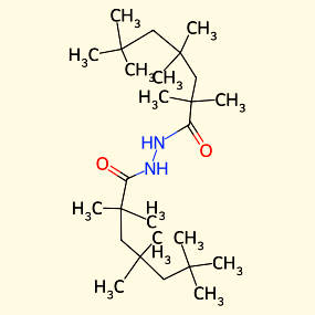 CC(C)(C)CC(C)(C)CC(C)(C)C(=O)NNC(=O)C(C)(C)CC(C)(C)CC(C)(C)C